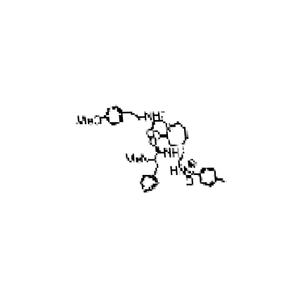 CN[C@H](Cc1ccccc1)C(=O)N[C@@H]1C(=O)N([C@@H](C)C(=O)NCCc2ccc(OC)cc2)CCC[C@@H]1CCNS(=O)(=O)c1ccc(C)cc1